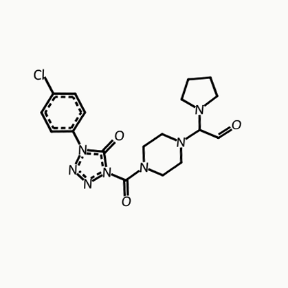 O=CC(N1CCCC1)N1CCN(C(=O)n2nnn(-c3ccc(Cl)cc3)c2=O)CC1